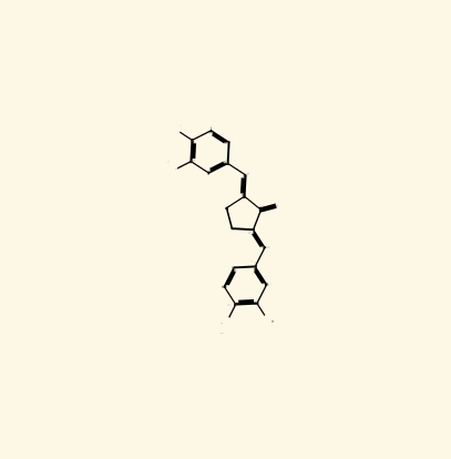 O=C1C(=Cc2ccc(O)c(O)c2)CCC1=Cc1ccc(O)c(O)c1